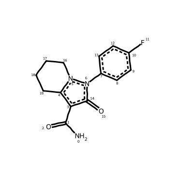 NC(=O)c1c2n(n(-c3ccc(F)cc3)c1=O)CCCC2